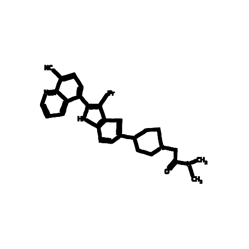 CC(C)c1c(-c2ccc(C#N)c3ncccc23)[nH]c2ccc(C3CCN(CC(=O)N(C)C)CC3)cc12